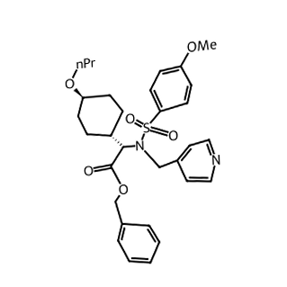 CCCO[C@H]1CC[C@H](C(C(=O)OCc2ccccc2)N(Cc2ccncc2)S(=O)(=O)c2ccc(OC)cc2)CC1